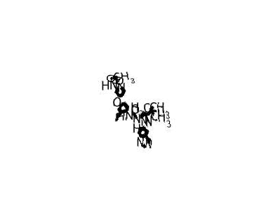 CC(C)(C)c1cc(NC(=O)Nc2ccc(Oc3ccnc(NS(C)(=O)=O)c3)cc2F)n(-c2ccc3ncncc3c2)n1